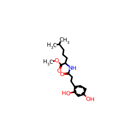 COC(=O)C(CCCC(C)C)NC(=O)CCc1ccc(O)cc1O